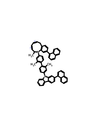 Cc1cc(N2c3cc(-c4cccc5ccccc45)ccc3C/C=C\C=C/C2C)ccc1-c1ccc(-n2c3ccccc3c3ccc(-c4cccc5ccccc45)cc32)cc1C